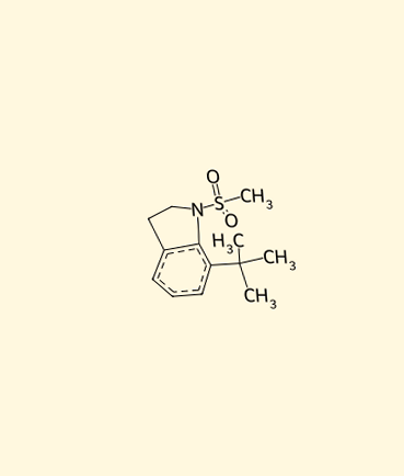 CC(C)(C)c1cccc2c1N(S(C)(=O)=O)CC2